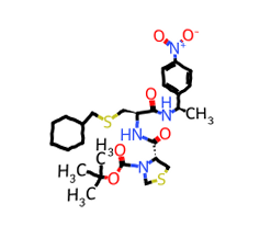 C[C@@H](NC(=O)[C@H](CSCC1CCCCC1)NC(=O)[C@@H]1CSCN1C(=O)OC(C)(C)C)c1ccc([N+](=O)[O-])cc1